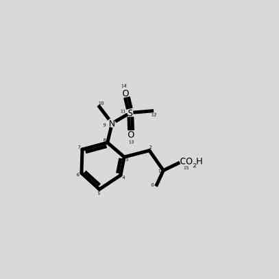 CC(Cc1ccccc1N(C)S(C)(=O)=O)C(=O)O